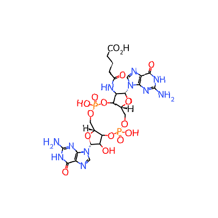 Nc1nc2c(ncn2[C@@H]2O[C@@H]3COP(=O)(O)OC4C(NC(=O)CCCC(=O)O)[C@H](n5cnc6c(=O)[nH]c(N)nc65)O[C@@H]4COP(=O)(O)OC3C2O)c(=O)[nH]1